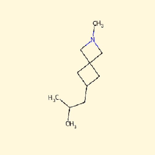 CC(C)CC1CC2(C1)CN(C)C2